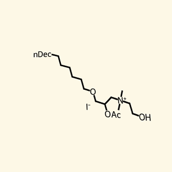 CCCCCCCCCCCCCCCCOCC(C[N+](C)(C)CCO)OC(C)=O.[I-]